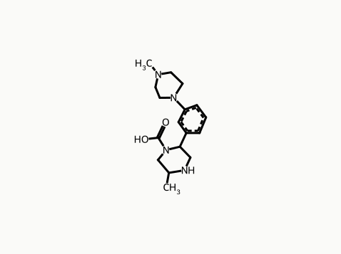 CC1CN(C(=O)O)C(c2cccc(N3CCN(C)CC3)c2)CN1